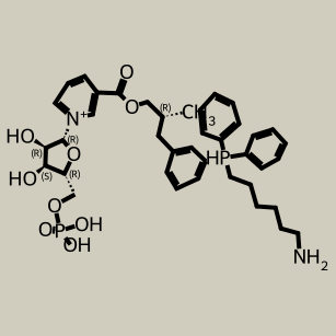 C[C@@H](COC(=O)c1ccc[n+]([C@@H]2O[C@H](COP(=O)(O)O)[C@@H](O)[C@H]2O)c1)Cc1cccc([PH](CCCCCCN)(c2ccccc2)c2ccccc2)c1